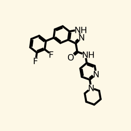 O=C(Nc1ccc(N2CCCCC2)nc1)c1n[nH]c2ccc(-c3cccc(F)c3F)cc12